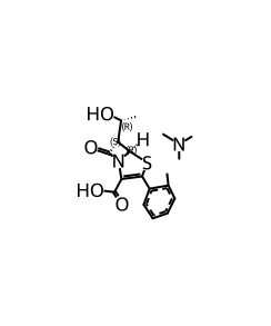 CN(C)C.Cc1ccccc1C1=C(C(=O)O)N2C(=O)[C@H]([C@@H](C)O)[C@H]2S1